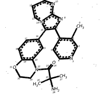 Cc1cnccc1-c1nc2ncccn2c1-c1ccc2c(c1)N(C(=O)C(C)(C)N)CCO2